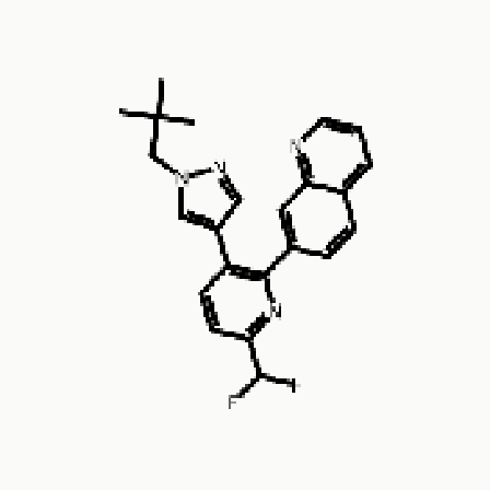 CC(C)(C)Cn1cc(-c2ccc(C(F)F)nc2-c2ccc3cccnc3c2)cn1